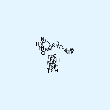 O=C(COc1ccc2cc1CCc1cncc(c1)Nc1ncc(Cl)c(n1)N2)N1CCC(c2cc(-c3cccs3)[nH]n2)CC1.O=C(O)C(F)(F)F.O=C(O)C(F)(F)F.O=C(O)C(F)(F)F